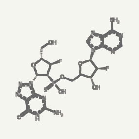 Nc1nc2c(nnn2[C@@H]2O[C@H](CO)[C@@H](F)[C@H]2P(O)(=S)OCC2O[C@@H](n3cnc4c(N)ncnc43)[C@@H](F)[C@@H]2O)c(=O)[nH]1